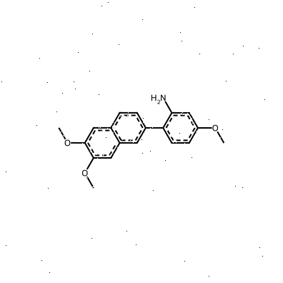 COc1ccc(-c2ccc3cc(OC)c(OC)cc3c2)c(N)c1